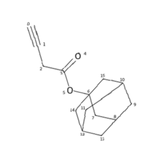 C#CCC(=O)OC12CC3CC(CC(C3)C1)C2